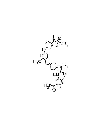 CCCN(C(=O)Nc1cc(C(N)=O)c(F)cc1F)C1CCN(Cc2ccc(Oc3ccc(NS(C)(=O)=O)cc3)nc2C)CC1